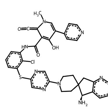 CN1C=C(c2ccncc2)C(O)=C(C(=O)Nc2cccc(Sc3cnc(N4CCC5(CC4)Cc4ncccc4[C@H]5N)cn3)c2Cl)C1=C=O